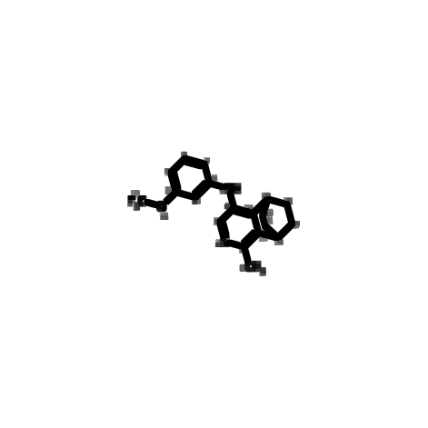 Cc1ncc(Nc2cccc(OC(F)(F)F)c2)c2c1C1CCC2CC1